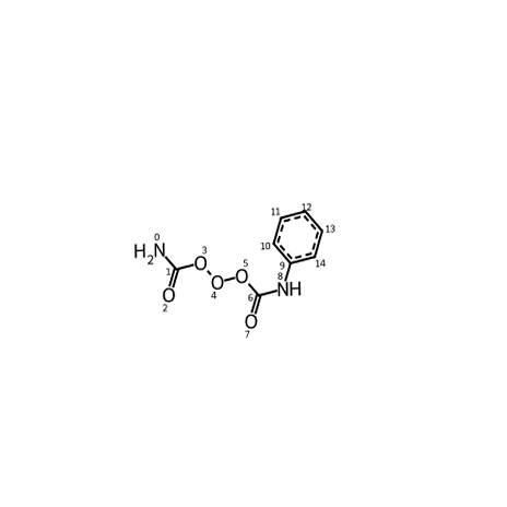 NC(=O)OOOC(=O)Nc1ccccc1